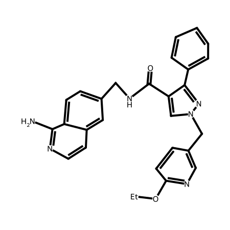 CCOc1ccc(Cn2cc(C(=O)NCc3ccc4c(N)nccc4c3)c(-c3ccccc3)n2)cn1